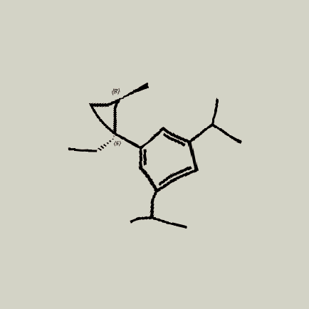 CC[C@]1(c2cc(C(C)C)cc(C(C)C)c2)C[C@H]1C